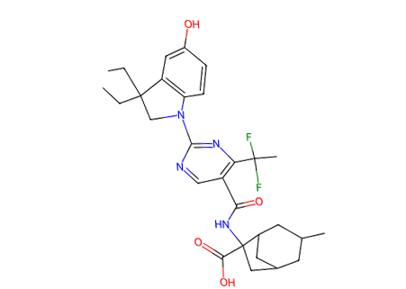 CCC1(CC)CN(c2ncc(C(=O)NC3(C(=O)O)CC4CC(C)CC3C4)c(C(C)(F)F)n2)c2ccc(O)cc21